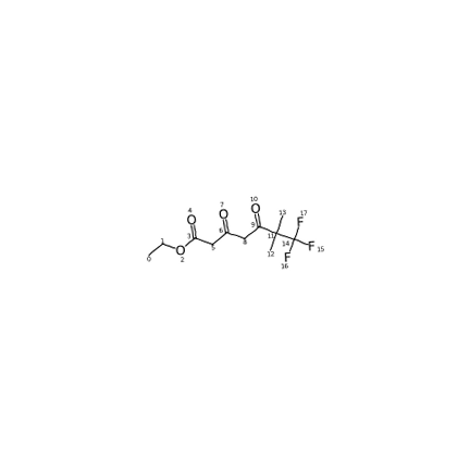 CCOC(=O)CC(=O)CC(=O)C(C)(C)C(F)(F)F